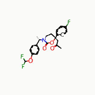 CC(=O)C[C@]1(c2ccc(F)cc2)CCN([C@@H](C)c2ccc(OC(F)F)cc2)C(=O)O1